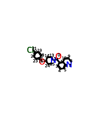 O=C(c1cccc2ncccc12)N1CCC(Oc2ccc(Cl)cc2)CC1